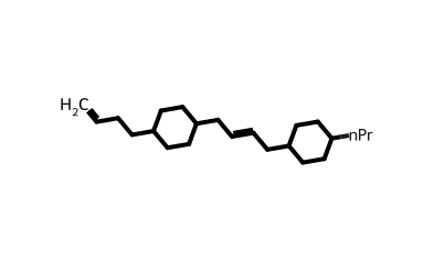 C=CCCC1CCC(CC=CCC2CCC(CCC)CC2)CC1